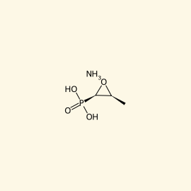 C[C@@H]1O[C@@H]1P(=O)(O)O.N